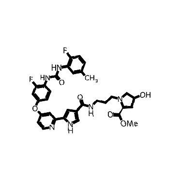 COC(=O)[C@@H]1CC(O)CN1CCCNC(=O)c1c[nH]c(-c2cc(Oc3ccc(NC(=O)Nc4cc(C)ccc4F)c(F)c3)ccn2)c1